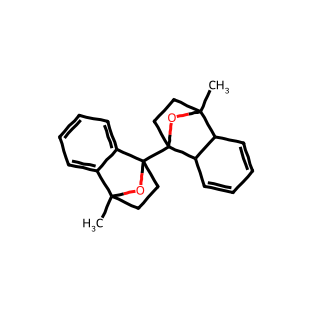 CC12CCC(C34CCC(C)(O3)C3C=CC=CC34)(O1)c1ccccc12